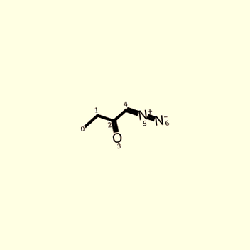 CCC(=O)C=[N+]=[N-]